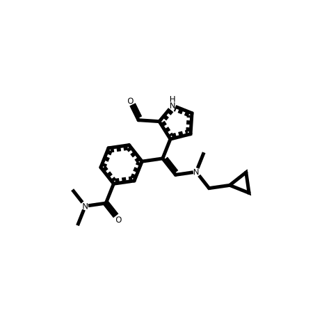 CN(/C=C(/c1cccc(C(=O)N(C)C)c1)c1cc[nH]c1C=O)CC1CC1